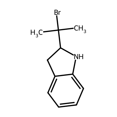 CC(C)(Br)C1Cc2ccccc2N1